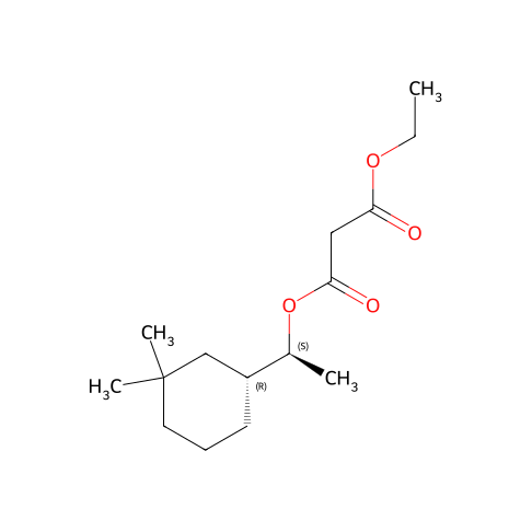 CCOC(=O)CC(=O)O[C@@H](C)[C@@H]1CCCC(C)(C)C1